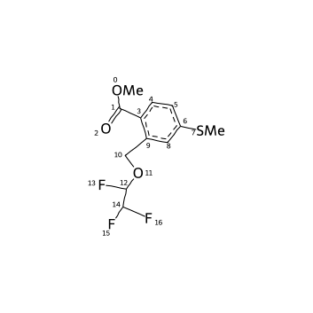 COC(=O)c1ccc(SC)cc1COC(F)C(F)F